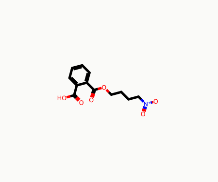 O=C(O)c1ccccc1C(=O)OCCCC[N+](=O)[O-]